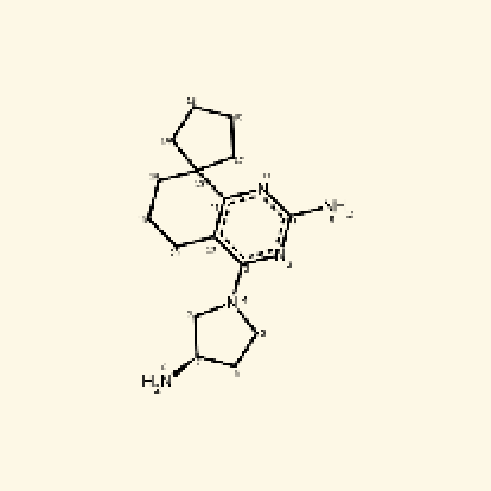 Nc1nc(N2CC[C@@H](N)C2)c2c(n1)C1(CCCC1)CCC2